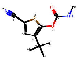 CNC(=O)Oc1sc(C#N)cc1C(C)(C)C